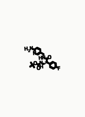 CC(C)(C)OC(=O)NC[C@H](C(=O)NCc1ccc(N)nc1)c1ccc(F)cc1